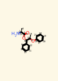 C[C@H](N)C(=O)O[C@H](c1ccccc1)[C@@H](C)Oc1ccccc1